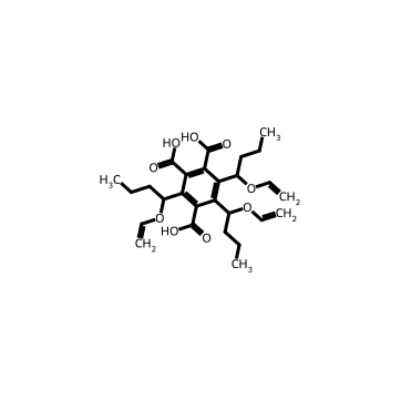 C=COC(CCC)c1c(C(=O)O)c(C(=O)O)c(C(CCC)OC=C)c(C(CCC)OC=C)c1C(=O)O